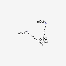 CCCCCCCC/C=C\CCCCCCCC(=O)OC(C)C(OC(=O)CCCCCCC/C=C\CCCCCCCC)[N+](C)(C)C